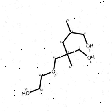 CC(CO)CC(C)(CO)COCCO